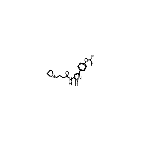 O=C(CCCN1CCCC1)Nc1cc(-c2ccc(OC(F)F)cc2)n[nH]1